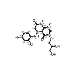 Cn1cc(OCC(O)CO)c(=O)c2c(Nc3ccc(I)cc3Cl)cc(=O)n(C)c21